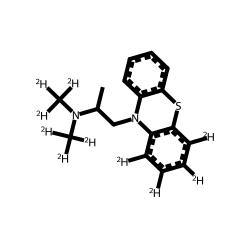 [2H]c1c([2H])c([2H])c2c(c1[2H])Sc1ccccc1N2CC(C)N(C([2H])([2H])[2H])C([2H])([2H])[2H]